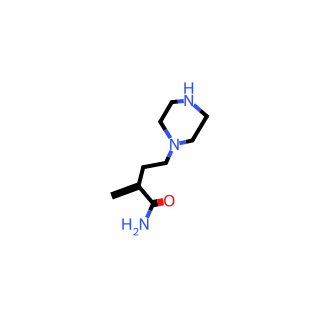 C=C(CCN1CCNCC1)C(N)=O